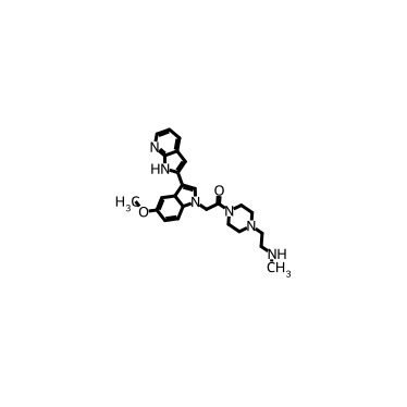 CNCCN1CCN(C(=O)CN2C=C(c3cc4cccnc4[nH]3)C3C=C(OC)C=CC32)CC1